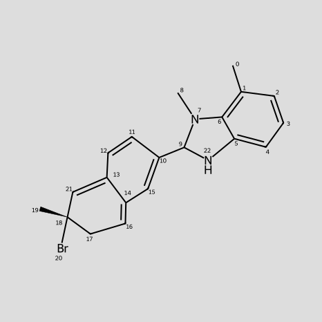 Cc1cccc2c1N(C)C(c1ccc3c(c1)=CC[C@](C)(Br)C=3)N2